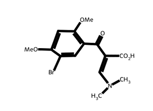 COc1cc(OC)c(C(=O)C(=CN(C)C)C(=O)O)cc1Br